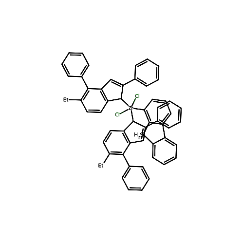 CCc1ccc2c(c1-c1ccccc1)C=C(c1ccccc1)[CH]2[Zr]([Cl])([Cl])([c]1cccc2c1[SiH2]c1ccccc1-2)[CH]1C(c2ccccc2)=Cc2c1ccc(CC)c2-c1ccccc1